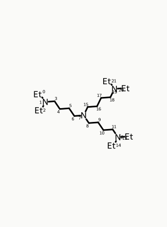 CCN(CC)CCCCN(CCCCN(CC)CC)CCCCN(CC)CC